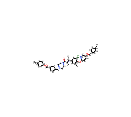 C/C(C(=O)N1CCN(Cc2ccc(COc3ccc(C(C)C)cc3)cc2)CC1)=C(/C)c1cc(C)c(Oc2ccc(OCc3ccc(C)cc3)cn2)c(Cl)c1